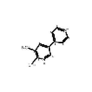 N#Cc1cc(-c2ccncc2)cnc1Cl